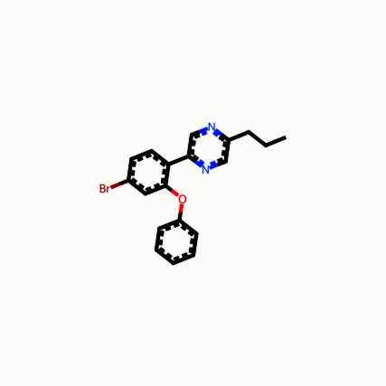 CCCc1cnc(-c2ccc(Br)cc2Oc2ccccc2)cn1